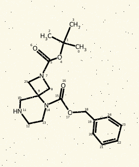 CC(C)(C)OC(=O)N1CC2(CNCCN2C(=O)OCc2ccccc2)C1